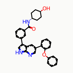 O=C(N[C@H]1CC[C@H](O)CC1)c1cccc(-c2c[nH]c3ncc(-c4ccccc4Oc4ccccc4)cc23)c1